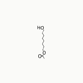 CC(=O)OCCCCCCCCO